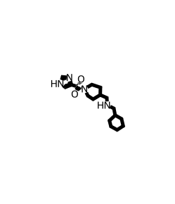 O=S(=O)(c1c[nH]cn1)N1CCC(CNCC2CCCCC2)CC1